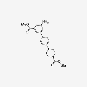 COC(=O)c1cc(N)cc(-c2ccc(C3CCN(C(=O)OC(C)(C)C)CC3)cc2)c1